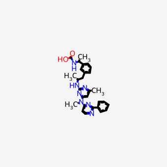 Cc1cc(N(C)c2ccnc(-c3ccccc3)n2)nc(NC(C)Cc2cccc(C(C)NC(=O)O)c2)n1